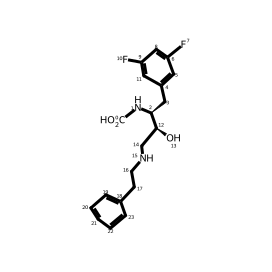 O=C(O)N[C@@H](Cc1cc(F)cc(F)c1)[C@@H](O)CNCCc1ccccc1